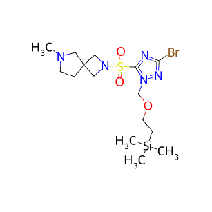 CN1CCC2(C1)CN(S(=O)(=O)c1nc(Br)nn1COCC[Si](C)(C)C)C2